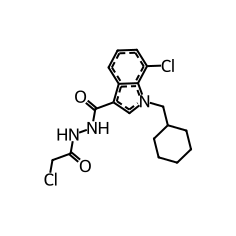 O=C(CCl)NNC(=O)c1cn(CC2CCCCC2)c2c(Cl)cccc12